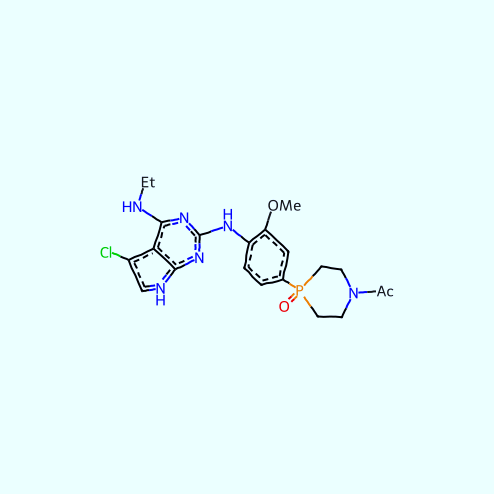 CCNc1nc(Nc2ccc(P3(=O)CCN(C(C)=O)CC3)cc2OC)nc2[nH]cc(Cl)c12